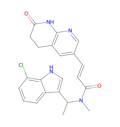 CC(c1c[nH]c2c(Cl)cccc12)N(C)C(=O)C=Cc1cnc2c(c1)CCC(=O)N2